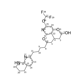 O=C(O)CC(CC(=O)CCCCc1ccc2c(n1)NCCC2)c1ccc(OC(F)F)nc1